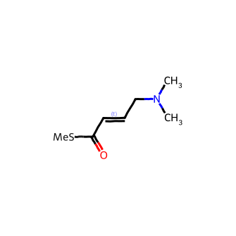 CSC(=O)/C=C/CN(C)C